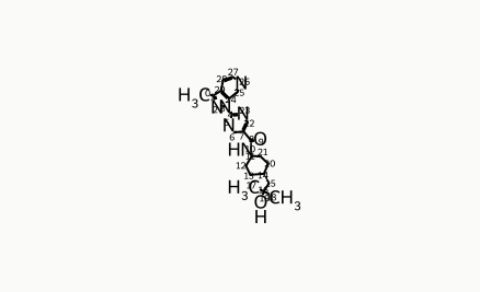 Cc1nn(-c2ncc(C(=O)N[C@H]3CC[C@H](CC(C)(C)O)CC3)cn2)c2cnccc12